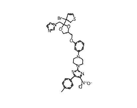 Cc1ccc(-c2sc(N3CCN(c4cccc(OCC5COC(Cn6ccnc6)(C6(Br)C=CSC6)O5)c4)CC3)nc2[N+](=O)[O-])cc1